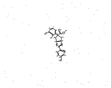 COC(=O)C1(c2cccc(F)c2C)Cc2nc(-c3ccc(F)cn3)sc2C1